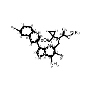 COCC1(N(Cc2nc3c(-c4cnc5ccc(F)cc5c4)cnn3c(N)c2Br)C(=O)OC(C)(C)C)CC1